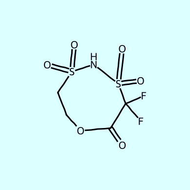 O=C1OCCS(=O)(=O)NS(=O)(=O)C1(F)F